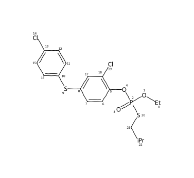 CCOP(=O)(Oc1ccc(Sc2ccc(Cl)cc2)cc1Cl)SCC(C)C